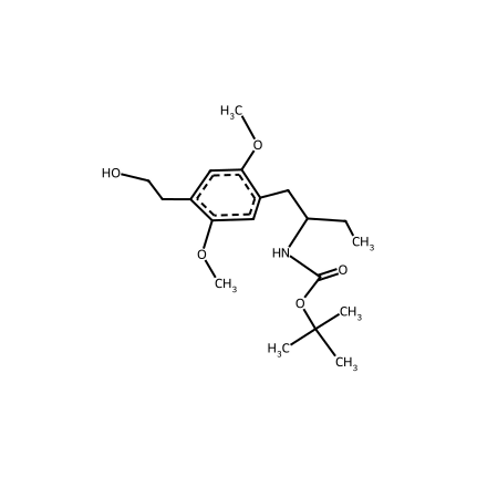 CCC(Cc1cc(OC)c(CCO)cc1OC)NC(=O)OC(C)(C)C